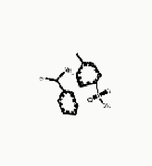 Cc1ccc(S(=O)(=O)O)cc1.NC(Br)c1ccccc1